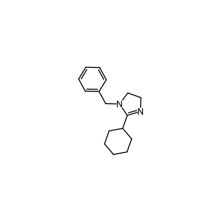 c1ccc(CN2CCN=C2C2CCCCC2)cc1